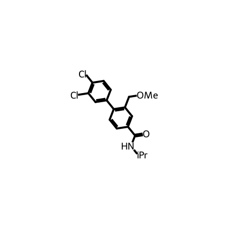 COCc1cc(C(=O)NC(C)C)ccc1-c1ccc(Cl)c(Cl)c1